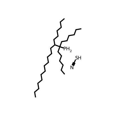 CCCCCCCCCCCCC(CCCCCC)C(P)(CCCCCC)CCCCCC.N#CS